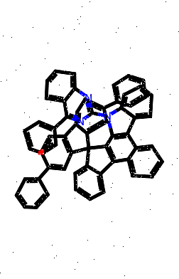 c1ccc(-c2ccc3c(c2)C2(c4cc(-c5ccccc5)ccc4-3)c3ccccc3-c3c2c2c(c4ccccc34)c3ccccc3n2-c2nc(-c3ccccc3)c3ccccc3n2)cc1